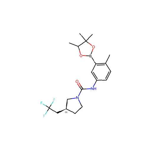 Cc1ccc(NC(=O)N2CC[C@@H](CC(F)(F)F)C2)cc1B1OC(C)C(C)(C)O1